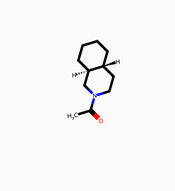 CC(=O)N1CC[C@H]2CCCC[C@@H]2C1